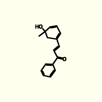 CC1(O)C=CC=C(/C=C/C(=O)c2ccccc2)C1